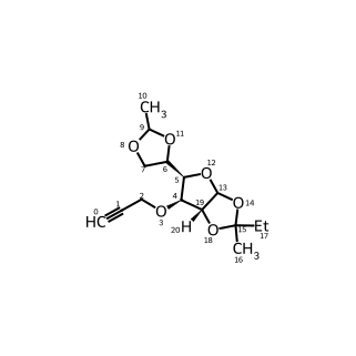 C#CCO[C@H]1[C@@H](C2COC(C)O2)OC2OC(C)(CC)O[C@@H]21